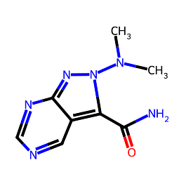 CN(C)n1nc2ncncc2c1C(N)=O